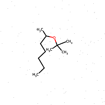 [CH2]C(CCCCC)OC(C)(C)C